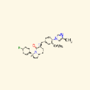 COc1cc(/C=C2\CCC3CC[C@@H](c4ccc(F)cc4)N3C2=O)ccc1-n1cnc(C)c1